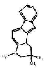 CN1CC(C)(C)CC2C3=Cc4ccccc4C3=CC=C21